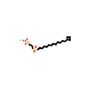 CS(=O)(=O)OCCCS(=O)(=O)CCCCCCCCCCCCCC1CCC1